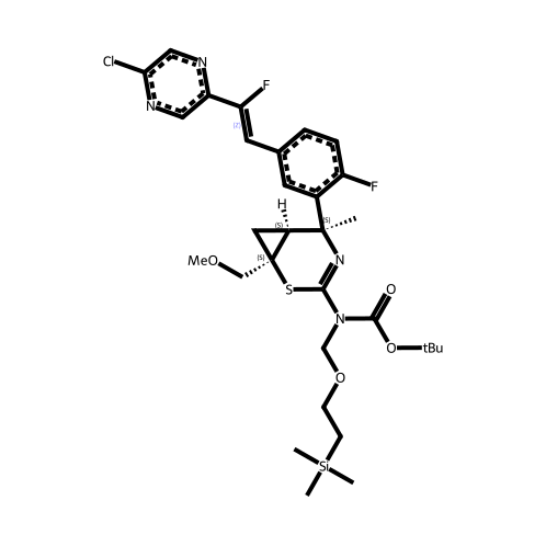 COC[C@]12C[C@H]1[C@@](C)(c1cc(/C=C(\F)c3cnc(Cl)cn3)ccc1F)N=C(N(COCC[Si](C)(C)C)C(=O)OC(C)(C)C)S2